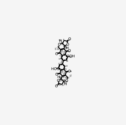 C[C@@H]1O[C@H]2CC(=O)O[C@H]2C2=C1C(=O)c1cc(-c3cc(O)c4c(c3)C(=O)C3=C(C4=O)[C@@H]4OC(=O)C[C@@H]4O[C@H]3C)cc(O)c1C2=O